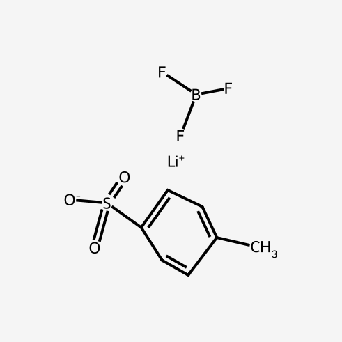 Cc1ccc(S(=O)(=O)[O-])cc1.FB(F)F.[Li+]